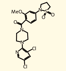 COc1cc(N2CCCS2(=O)=O)ccc1C(=O)N1CCN(c2ncc(Cl)cc2Cl)CC1